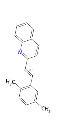 Cc1ccc(C)c(/C=C/c2ccc3ccccc3n2)c1